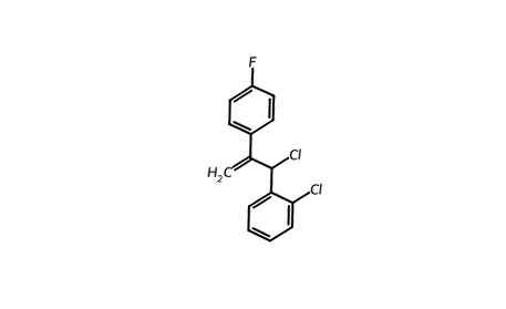 C=C(c1ccc(F)cc1)C(Cl)c1ccccc1Cl